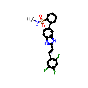 CNS(=O)(=O)c1ccccc1-c1ccc2[nH]c(/C=C/c3cc(F)c(F)cc3F)nc2c1